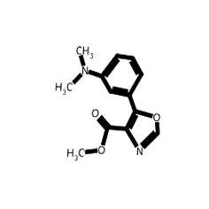 COC(=O)c1ncoc1-c1cccc(N(C)C)c1